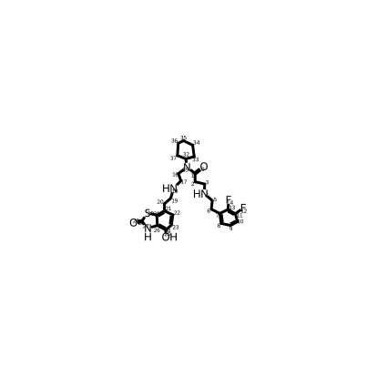 O=C(CCNCCc1cccc(F)c1F)N(CCNCCc1ccc(O)c2[nH]c(=O)sc12)C1CCCCC1